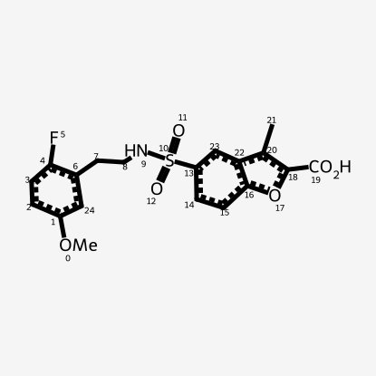 COc1ccc(F)c(CCNS(=O)(=O)c2ccc3oc(C(=O)O)c(C)c3c2)c1